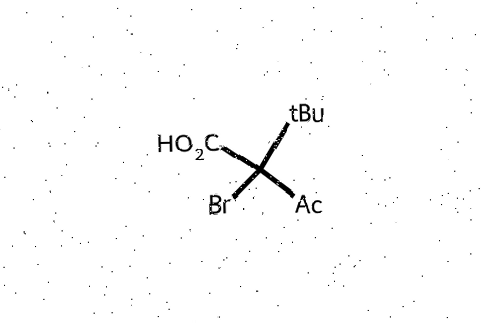 CC(=O)C(Br)(C(=O)O)C(C)(C)C